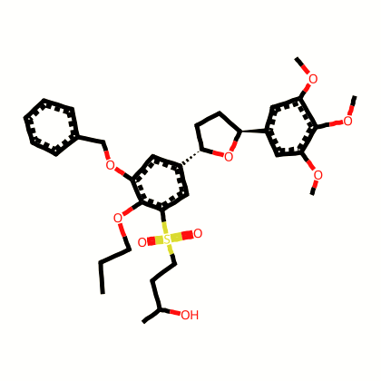 CCCOc1c(OCc2ccccc2)cc([C@@H]2CC[C@@H](c3cc(OC)c(OC)c(OC)c3)O2)cc1S(=O)(=O)CCC(C)O